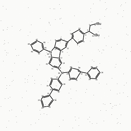 CC(C)(C)CC(c1ccc(-c2ccc3c(c2)c2cc(N(c4ccc(-c5ccccc5)cc4)c4ccc(-c5ccccc5)cc4)ccc2n3-c2ccccc2)cc1)C(C)(C)C